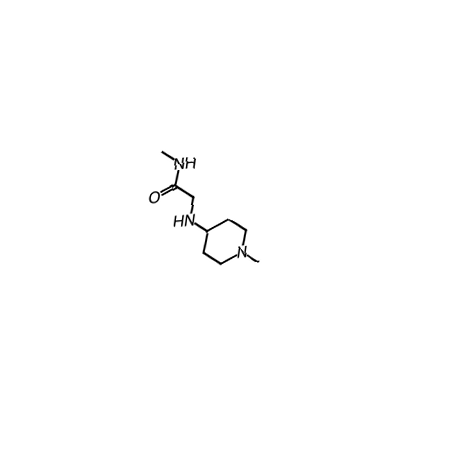 CNC(=O)CNC1CCN(C)CC1